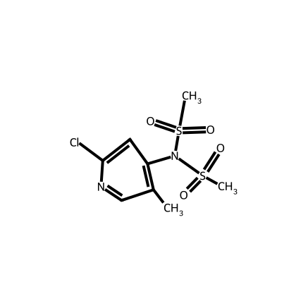 Cc1cnc(Cl)cc1N(S(C)(=O)=O)S(C)(=O)=O